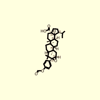 CC(C)[C@@H]1CC[C@]2(C(=O)O)CC[C@]3(C)[C@H](CC[C@@H]4[C@@]5(C)C[C@@H]6O[C@]6(c6ccc(OC=O)cc6)C(C)(C)[C@@H]5CC[C@]43C)[C@@H]12